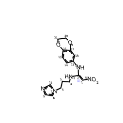 O=[N+]([O-])/C=C(/NCCCn1ccnc1)Nc1ccc2c(c1)OCCO2